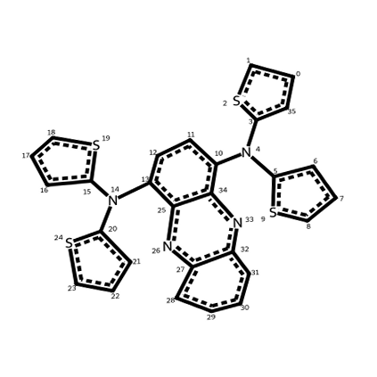 c1csc(N(c2cccs2)c2ccc(N(c3cccs3)c3cccs3)c3nc4ccccc4nc23)c1